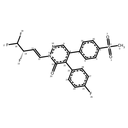 CS(=O)(=O)c1ccc(-c2cnn(C=C[C@H](F)C(F)F)c(=O)c2-c2ccc(F)cc2)cc1